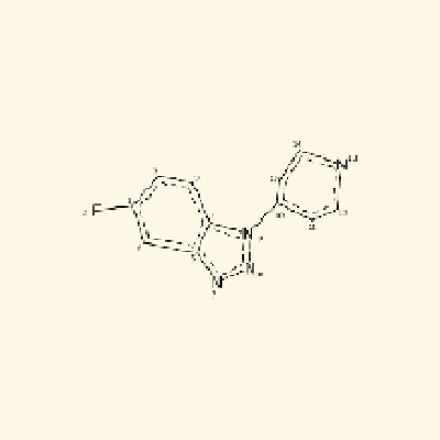 Fc1ccc2c(c1)nnn2-c1ccncc1